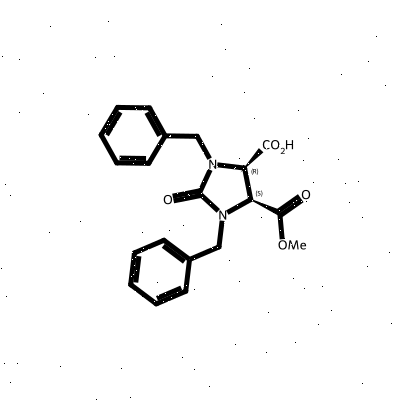 COC(=O)[C@@H]1[C@H](C(=O)O)N(Cc2ccccc2)C(=O)N1Cc1ccccc1